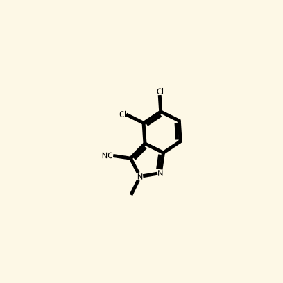 Cn1nc2ccc(Cl)c(Cl)c2c1C#N